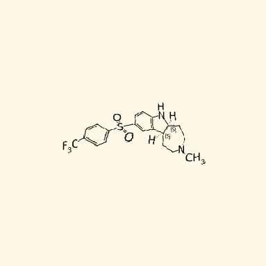 CN1CC[C@@H]2Nc3ccc(S(=O)(=O)c4ccc(C(F)(F)F)cc4)cc3[C@@H]2CC1